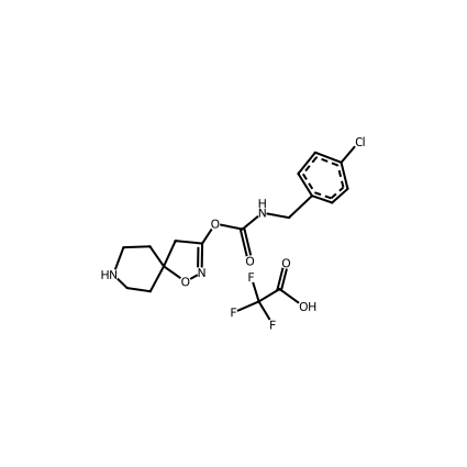 O=C(NCc1ccc(Cl)cc1)OC1=NOC2(CCNCC2)C1.O=C(O)C(F)(F)F